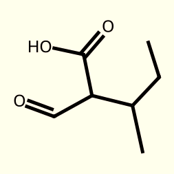 CCC(C)C(C=O)C(=O)O